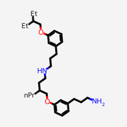 CCCC(CCNCCCc1cccc(OCC(CC)CC)c1)COc1cccc(CCCN)c1